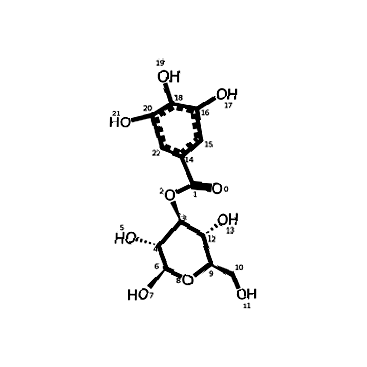 O=C(O[C@@H]1[C@@H](O)[C@H](O)O[C@H](CO)[C@H]1O)c1cc(O)c(O)c(O)c1